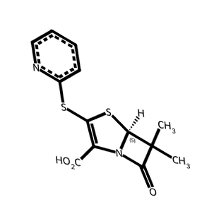 CC1(C)C(=O)N2C(C(=O)O)=C(Sc3ccccn3)S[C@H]21